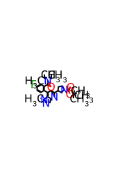 CCN(C(=O)c1cc(F)ccc1-c1cc(C2CCN(C(=O)OC(C)(C)C)C2)nc2cnn(C)c12)C(C)C